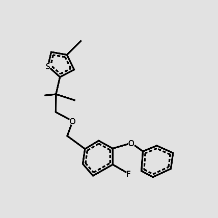 Cc1csc(C(C)(C)COCc2ccc(F)c(Oc3ccccc3)c2)c1